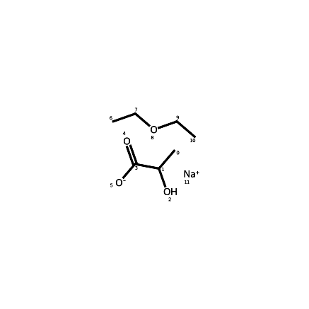 CC(O)C(=O)[O-].CCOCC.[Na+]